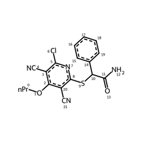 CCCOc1c(C#N)c(Cl)nc(SC(C(N)=O)c2ccccc2)c1C#N